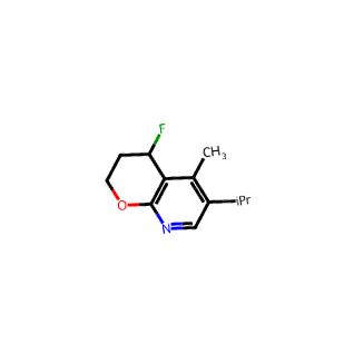 Cc1c(C(C)C)cnc2c1C(F)CCO2